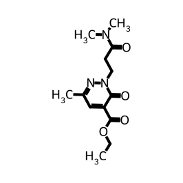 CCOC(=O)c1cc(C)nn(CCC(=O)N(C)C)c1=O